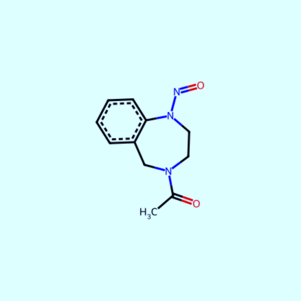 CC(=O)N1CCN(N=O)c2ccccc2C1